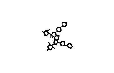 Cc1cc(C)c(-c2cc(-c3ccc(-c4ccccc4)cc3)c3ccc4c(-c5ccc(-c6ccccc6)cc5)cc(-c5c(C)cc(C)cc5C)nc4c3n2)c(C)c1